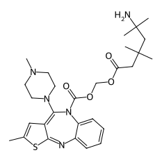 Cc1cc2c(s1)=Nc1ccccc1N(C(=O)OCOC(=O)CC(C)(C)CC(C)(C)N)C=2N1CCN(C)CC1